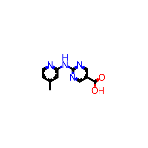 Cc1ccnc(Nc2ncc(C(=O)O)cn2)c1